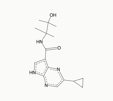 CC(C)(O)C(C)(C)NC(=O)c1c[nH]c2ncc(C3CC3)nc12